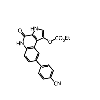 CCOC(=O)Oc1c[nH]c2c(=O)[nH]c3ccc(-c4ccc(C#N)cc4)cc3c12